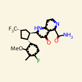 COc1c([C@@H]2C[C@H](C(F)(F)F)C[C@H]2c2cc(=O)c3c(C(N)=O)nccc3[nH]2)ccc(F)c1C